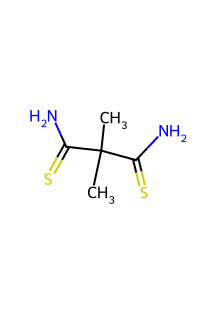 CC(C)(C(N)=S)C(N)=S